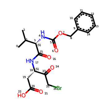 CC(C)[C@H](NC(=O)OCc1ccccc1)C(=O)N[C@@H](CC(=O)O)C(=O)CBr